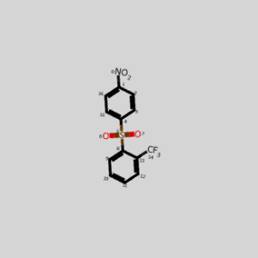 O=[N+]([O-])c1ccc(S(=O)(=O)c2ccccc2C(F)(F)F)cc1